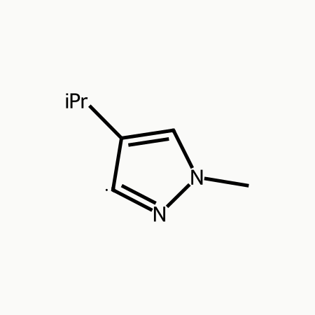 CC(C)c1[c]nn(C)c1